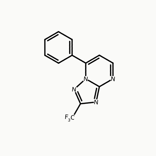 FC(F)(F)c1nc2nccc(-c3ccccc3)n2n1